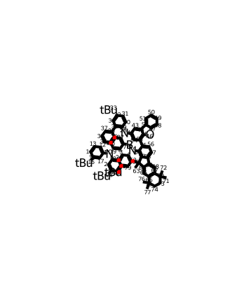 CC(C)(C)c1ccc(N2B3c4cc(N(c5cccc(C(C)(C)C)c5)c5cccc(C(C)(C)C)c5)ccc4N(c4ccc(C(C)(C)C)cc4-c4ccccc4)c4cc5c(oc6ccccc65)c(c43)-c3ccc4c(c32)C(C)(C)c2cc3c(cc2-4)C(C)(C)CCC3(C)C)cc1